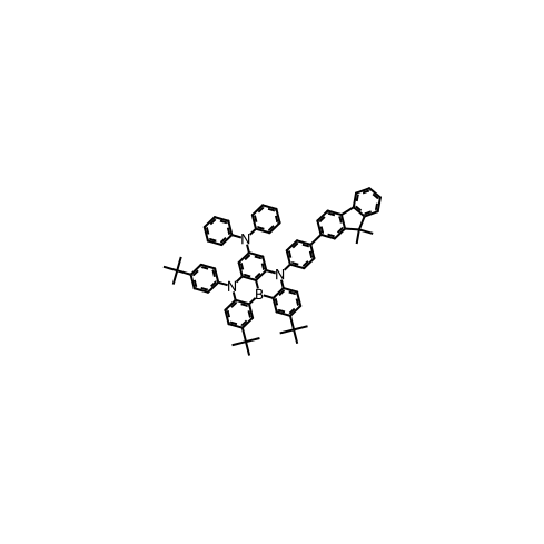 CC(C)(C)c1ccc(N2c3ccc(C(C)(C)C)cc3B3c4cc(C(C)(C)C)ccc4N(c4ccc(-c5ccc6c(c5)C(C)(C)c5ccccc5-6)cc4)c4cc(N(c5ccccc5)c5ccccc5)cc2c43)cc1